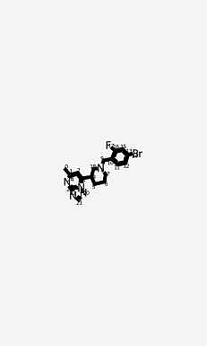 Cc1cc(C2CCCN(Cc3ccc(Br)cc3F)C2)n2ncnc2n1